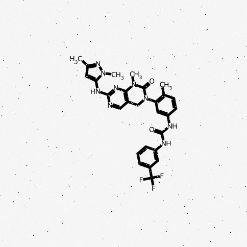 Cc1cc(Nc2ncc3c(n2)N(C)C(=O)N(c2cc(NC(=O)Nc4cccc(C(F)(F)F)c4)ccc2C)C3)n(C)n1